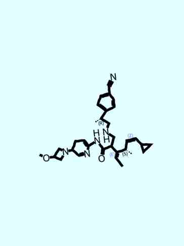 C/C=C(/C(CNC[C@H](C)c1ccc(C#N)cc1)C(=O)NC1=CCC(N2CC(OC)C2)C=N1)[C@@H](C)/C=C\C1CC1